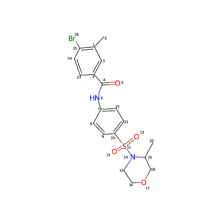 Cc1cc(C(=O)Nc2ccc(S(=O)(=O)N3CCOCC3C)cc2)ccc1Br